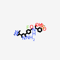 Cc1nn(C)cc1-c1cnc(N)c(-c2ccc(C(=O)NC(CO)c3cccc(S(C)(=O)=O)c3)c(F)c2)c1